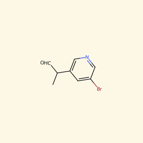 CC(C=O)c1cncc(Br)c1